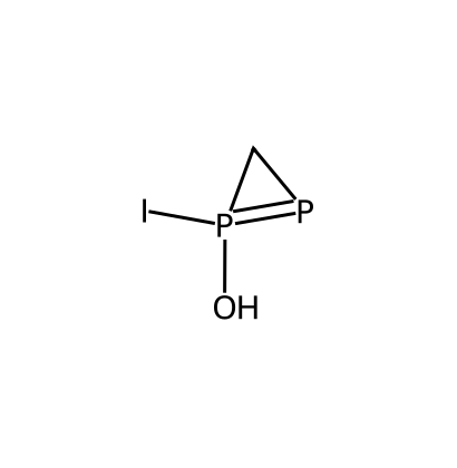 OP1(I)=PC1